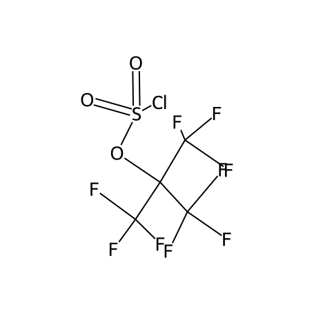 O=S(=O)(Cl)OC(C(F)(F)F)(C(F)(F)F)C(F)(F)F